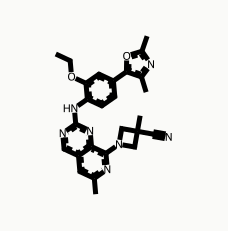 CCOc1cc(-c2oc(C)nc2C)ccc1Nc1ncc2cc(C)nc(N3CC(C)(C#N)C3)c2n1